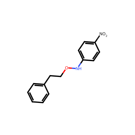 O=[N+]([O-])c1ccc(NOCCc2ccccc2)cc1